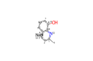 Cc1ccc2cccc(O)c2n1.[NaH]